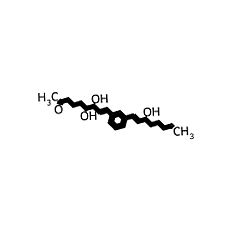 CCCCC[C@@H](O)/C=C/c1cccc(/C=C/[C@@H](O)[C@@H](O)CCCC(C)=O)c1